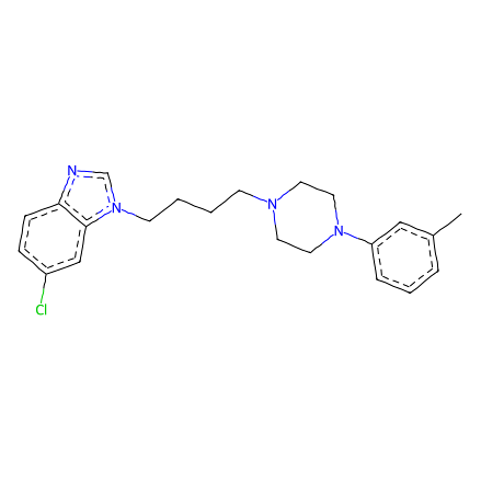 Cc1cccc(N2CCN(CCCCn3cnc4ccc(Cl)cc43)CC2)c1